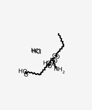 CCCCCCCC/C=C\CCCCCCCC(=O)OCCN(CCOC(=O)CCCCCCC/C=C\CCCCCCCC(=O)O)C(=O)[C@@H](N)CCCN.Cl.Cl